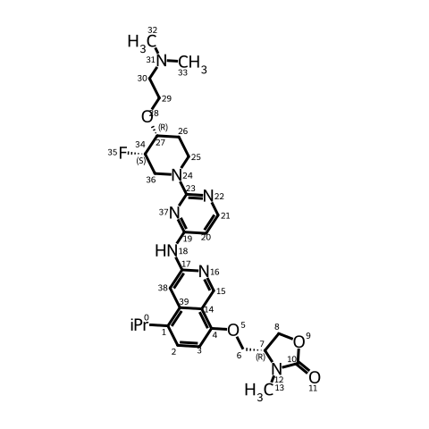 CC(C)c1ccc(OC[C@@H]2COC(=O)N2C)c2cnc(Nc3ccnc(N4CC[C@@H](OCCN(C)C)[C@@H](F)C4)n3)cc12